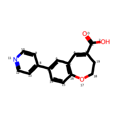 O=C(O)C1=Cc2cc(-c3ccncc3)ccc2OCC1